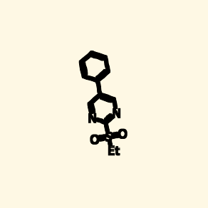 CCS(=O)(=O)c1ncc(-c2ccccc2)cn1